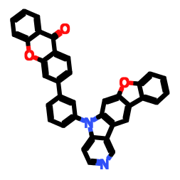 O=c1c2ccccc2oc2cc(-c3cccc(-n4c5ccncc5c5cc6c(cc54)oc4ccccc46)c3)ccc12